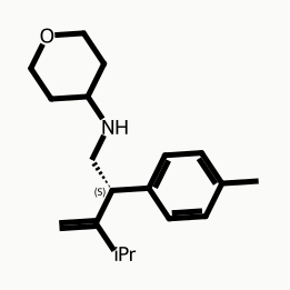 C=C(C(C)C)[C@H](CNC1CCOCC1)c1ccc(C)cc1